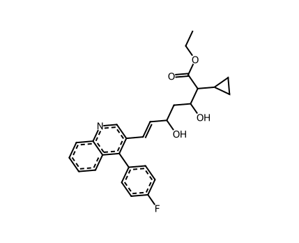 CCOC(=O)C(C(O)CC(O)C=Cc1cnc2ccccc2c1-c1ccc(F)cc1)C1CC1